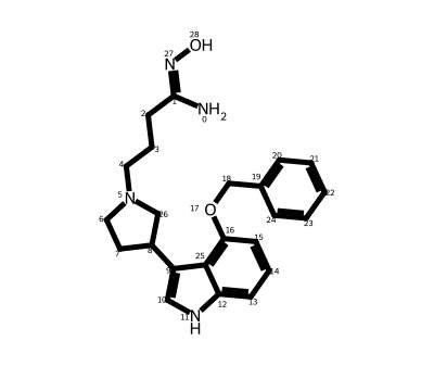 N/C(CCCN1CCC(c2c[nH]c3cccc(OCc4ccccc4)c23)C1)=N\O